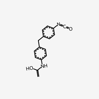 C=C(O)Nc1ccc(Cc2ccc(N=C=O)cc2)cc1